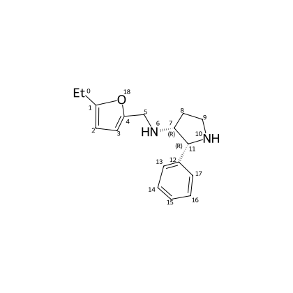 CCc1ccc(CN[C@@H]2CCN[C@@H]2c2ccccc2)o1